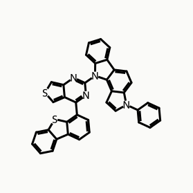 c1ccc(-n2ccc3c2ccc2c4ccccc4n(-c4nc(-c5cccc6c5sc5ccccc56)c5cscc5n4)c23)cc1